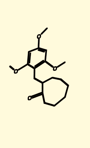 COc1cc(OC)c(CC2CCCCCCC2=O)c(OC)c1